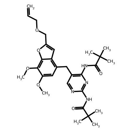 C=CCOCc1cc2c(Cc3cnc(NC(=O)C(C)(C)C)nc3NC(=O)C(C)(C)C)cc(OC)c(OC)c2o1